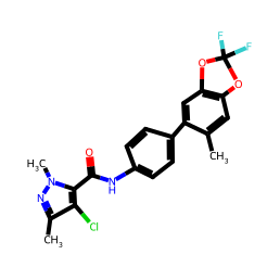 Cc1cc2c(cc1-c1ccc(NC(=O)c3c(Cl)c(C)nn3C)cc1)OC(F)(F)O2